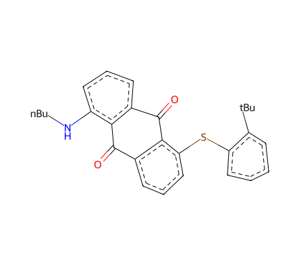 CCCCNc1cccc2c1C(=O)c1cccc(Sc3ccccc3C(C)(C)C)c1C2=O